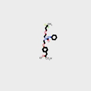 CCOC(Cc1ccc(OCCN(CCOCCC(C)(F)F)C(=O)NC2CCCCC2)cc1)C(=O)O